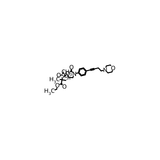 CCOC(=O)C(C)(C[C@H]1CN(c2ccc(C#CCCN3CCOCC3)cc2)C(=O)O1)S(C)(=O)=O